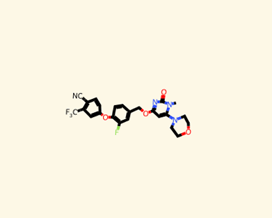 Cn1c(N2CCOCC2)cc(OCc2ccc(Oc3ccc(C#N)c(C(F)(F)F)c3)c(F)c2)nc1=O